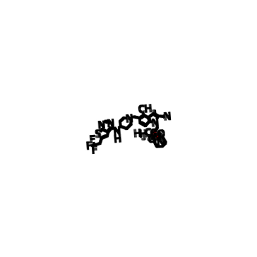 Cc1c(CN2CCC(Nc3ncnc4sc(CC(F)(F)F)cc34)CC2)ccc2c1cc(C#N)n2CC(C)N1CC2CC(C1)N2S(C)(=O)=O